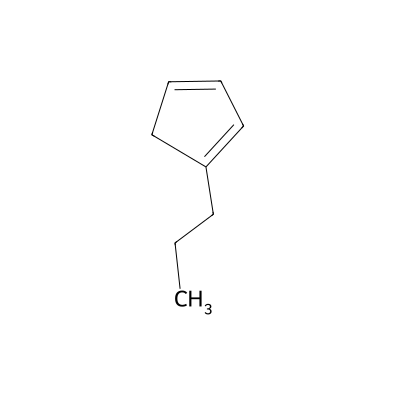 CCCC1=CC=CC1